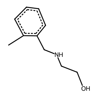 Cc1ccccc1CNCCO